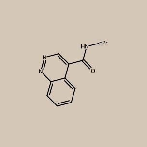 CCCNC(=O)c1cnnc2ccccc12